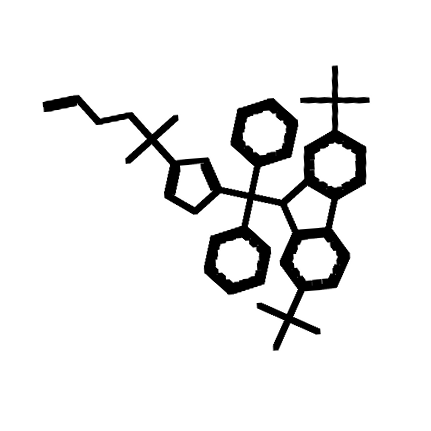 C=CCCC(C)(C)C1=CCC(C(c2ccccc2)(c2ccccc2)C2c3cc(C(C)(C)C)ccc3-c3ccc(C(C)(C)C)cc32)=C1